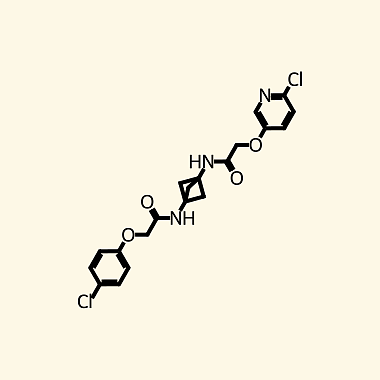 O=C(COc1ccc(Cl)cc1)NC12CC(NC(=O)COc3ccc(Cl)nc3)(C1)C2